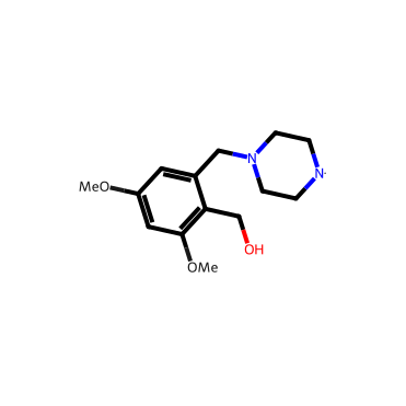 COc1cc(CN2CC[N]CC2)c(CO)c(OC)c1